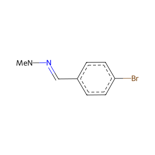 CN/N=C/c1ccc(Br)cc1